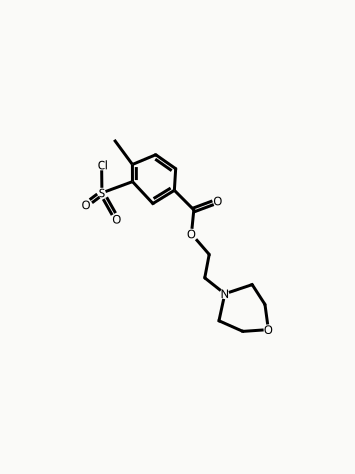 Cc1ccc(C(=O)OCCN2CCOCC2)cc1S(=O)(=O)Cl